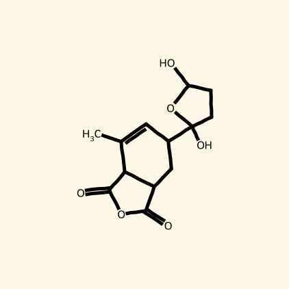 CC1=CC(C2(O)CCC(O)O2)CC2C(=O)OC(=O)C12